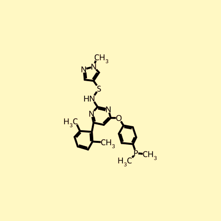 Cc1cccc(C)c1-c1cc(Oc2ccc(P(C)C)cc2)nc(NSc2cnn(C)c2)n1